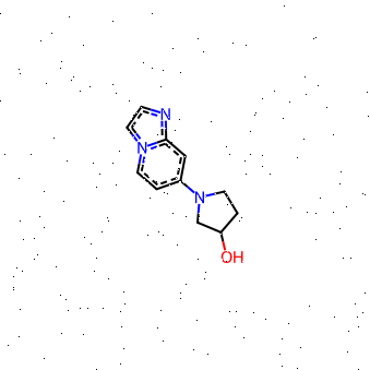 OC1CCN(c2ccn3ccnc3c2)C1